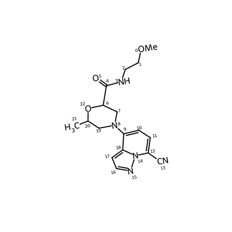 COCCNC(=O)C1CN(c2ccc(C#N)n3nccc23)CC(C)O1